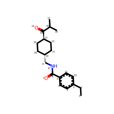 CCc1ccc(C(=O)NC[C@H]2CC[C@H](C(=O)C(C)C)CC2)cc1